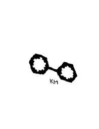 [KH].c1ccc(-c2ccccc2)cc1